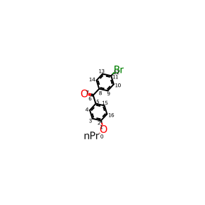 CCCOc1ccc(C(=O)c2ccc(Br)cc2)cc1